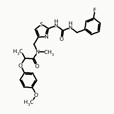 COc1ccc(OC(C)C(=O)N(C)Cc2csc(NC(=O)NCc3cccc(F)c3)n2)cc1